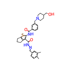 Cc1ccc(C=NNC(=O)c2c(NC(=O)c3cccc(CN4CCC(CO)CC4)c3)sc3c2CCC3)cc1C